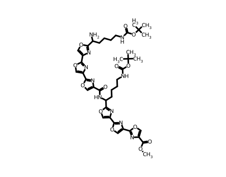 COC(=O)c1coc(-c2coc(-c3coc(C(CCCCNC(=O)OC(C)(C)C)NC(=O)c4coc(-c5coc(-c6coc(C(N)CCCCNC(=O)OC(C)(C)C)n6)n5)n4)n3)n2)n1